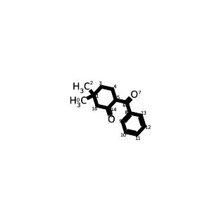 CC1(C)CCC(C(=O)c2ccccc2)C(=O)C1